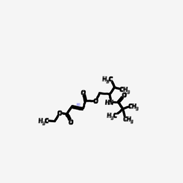 CCOC(=O)/C=C/C(=O)OCC(NC(=O)C(C)(C)C)C(C)C